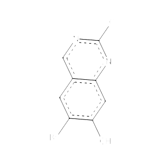 Cc1cc2nc(Cl)ncc2cc1Br